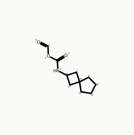 O=COC(=O)NC1CC2(CCCC2)C1